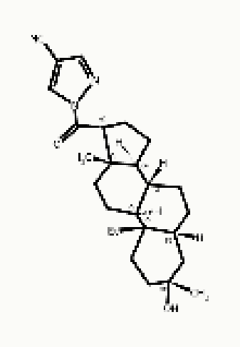 CC[C@]12CC[C@@](C)(O)C[C@H]1CC[C@H]1[C@@H]3CC[C@H](C(=O)n4cc(C#N)cn4)[C@@]3(C)CC[C@@H]12